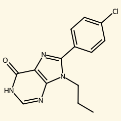 CCCn1c(-c2ccc(Cl)cc2)nc2c(=O)[nH]cnc21